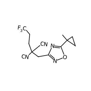 [C-]#[N+]C(C#N)(CCC(F)(F)F)Cc1noc(C2(C)CC2)n1